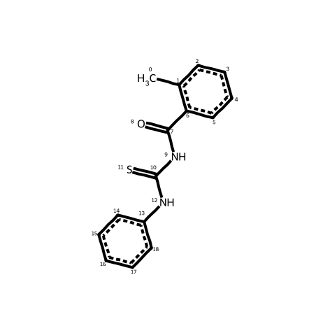 Cc1ccccc1C(=O)NC(=S)Nc1ccccc1